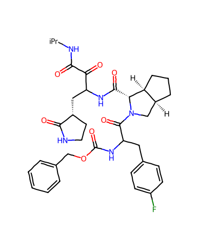 CC(C)NC(=O)C(=O)C(C[C@@H]1CCNC1=O)NC(=O)[C@@H]1[C@H]2CCC[C@H]2CN1C(=O)C(Cc1ccc(F)cc1)NC(=O)OCc1ccccc1